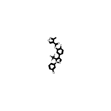 Cc1nocc1C(=O)Oc1cc(-c2cnn(-c3cccc(Cl)c3)c2C(F)(F)F)ccc1F